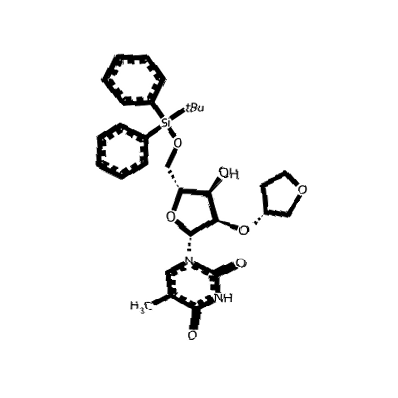 Cc1cn([C@@H]2O[C@H](CO[Si](c3ccccc3)(c3ccccc3)C(C)(C)C)[C@@H](O)[C@H]2O[C@@H]2CCOC2)c(=O)[nH]c1=O